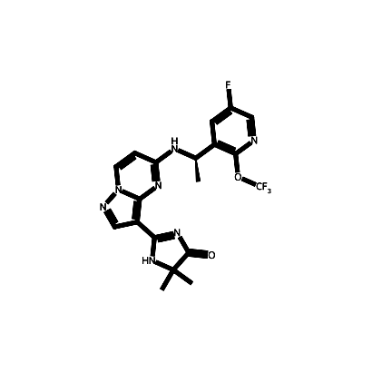 C[C@@H](Nc1ccn2ncc(C3=NC(=O)C(C)(C)N3)c2n1)c1cc(F)cnc1OC(F)(F)F